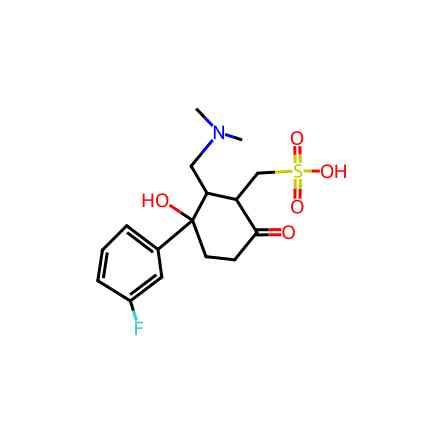 CN(C)CC1C(CS(=O)(=O)O)C(=O)CCC1(O)c1cccc(F)c1